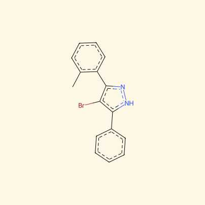 Cc1ccccc1-c1n[nH]c(-c2ccccc2)c1Br